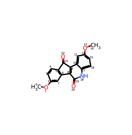 COc1ccc2c(c1)-c1c(c3cc(OC)ccc3[nH]c1=O)C2=O